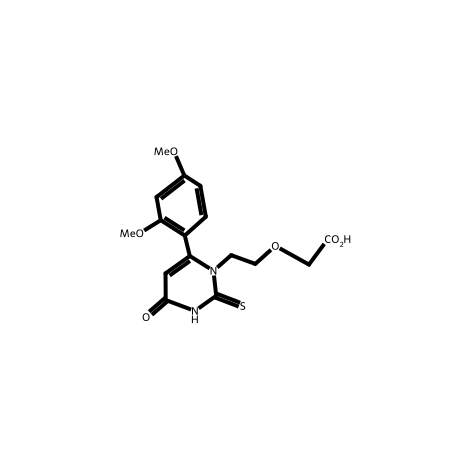 COc1ccc(-c2cc(=O)[nH]c(=S)n2CCOCC(=O)O)c(OC)c1